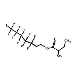 CCC(C)C(=O)OCCC(F)(F)C(F)(F)C(F)(F)C(F)(F)C(F)(F)F